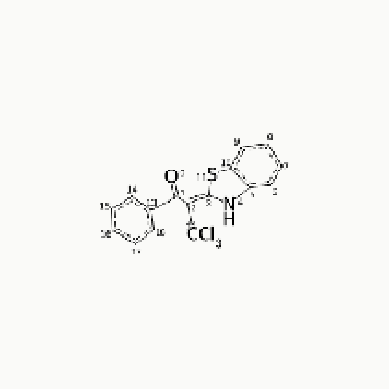 O=C(/C(=C1/Nc2ccccc2S1)C(Cl)(Cl)Cl)c1ccccc1